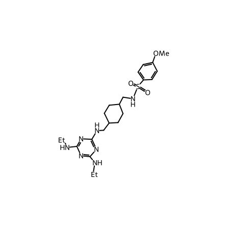 CCNc1nc(NCC)nc(NCC2CCC(CNS(=O)(=O)c3ccc(OC)cc3)CC2)n1